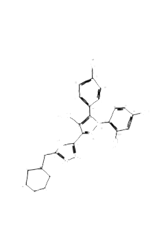 Cc1c(-c2nnc(CC3CCCCC3)o2)nn(-c2ccc(Cl)cc2Cl)c1-c1ccc(Br)cc1